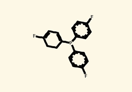 FC1=CC=C(P(c2ccc(F)cc2)c2ccc(F)cc2)CC1